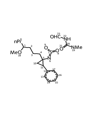 CCCC(CCCC1(N=S(=O)=O)CC1c1ccccc1)OC.CNC(=O)NC=O